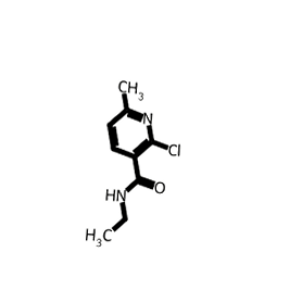 CCNC(=O)c1ccc(C)nc1Cl